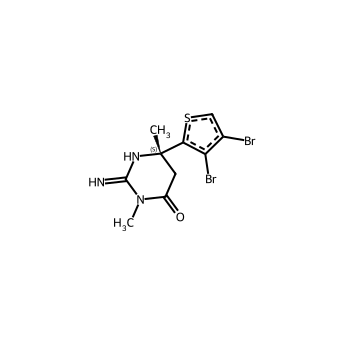 CN1C(=N)N[C@](C)(c2scc(Br)c2Br)CC1=O